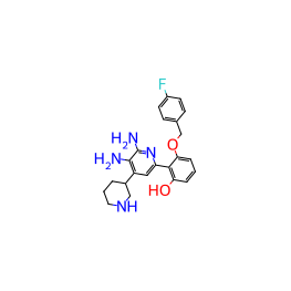 Nc1nc(-c2c(O)cccc2OCc2ccc(F)cc2)cc(C2CCCNC2)c1N